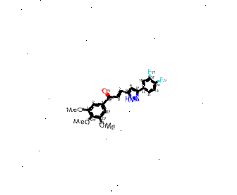 COc1cc(C(=O)C=Cc2cc(-c3ccc(F)c(F)c3)n[nH]2)cc(OC)c1OC